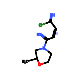 CC1CN(C(=N)/C=C\C(=N)Cl)CCO1